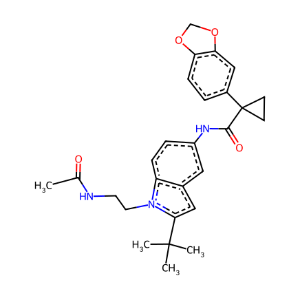 CC(=O)NCCn1c(C(C)(C)C)cc2cc(NC(=O)C3(c4ccc5c(c4)OCO5)CC3)ccc21